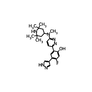 CN(c1ccc(-c2cc(-c3cn[nH]c3)c(F)cc2O)nn1)C1CC(C)(C)NC(C)(C)C1